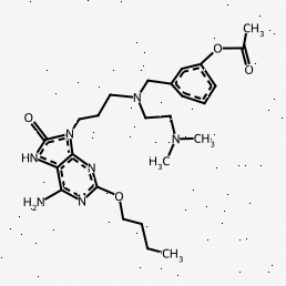 CCCCOc1nc(N)c2[nH]c(=O)n(CCCN(CCN(C)C)Cc3cccc(OC(C)=O)c3)c2n1